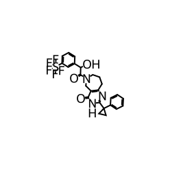 O=C(C(O)c1cccc(S(F)(F)(F)(F)F)c1)N1CCCc2nc(C3(c4ccccc4)CC3)[nH]c(=O)c2C1